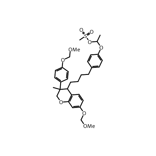 COCOc1ccc(C2(C)COc3cc(OCOC)ccc3C2CCCCc2ccc(OC(C)OS(C)(=O)=O)cc2)cc1